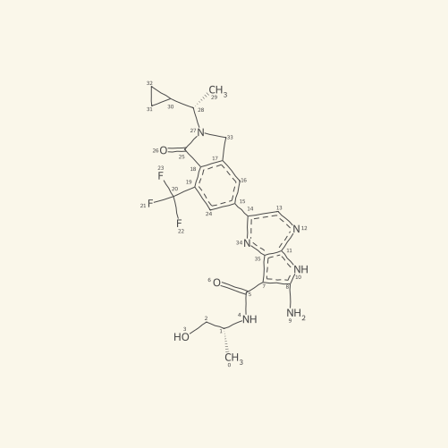 C[C@H](CO)NC(=O)c1c(N)[nH]c2ncc(-c3cc4c(c(C(F)(F)F)c3)C(=O)N([C@@H](C)C3CC3)C4)nc12